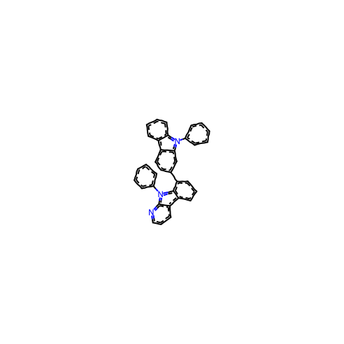 c1ccc(-n2c3ccccc3c3ccc(-c4cccc5c6cccnc6n(-c6ccccc6)c45)cc32)cc1